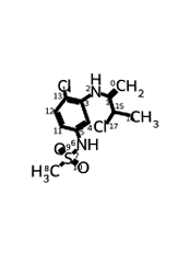 C=C(Nc1cc(NS(C)(=O)=O)ccc1Cl)C(C)Cl